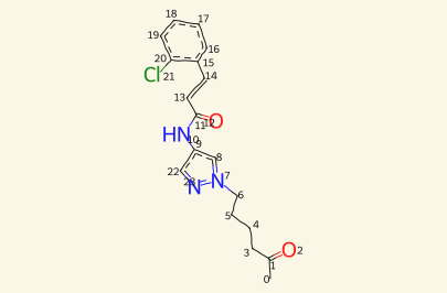 CC(=O)CCCCn1cc(NC(=O)C=Cc2ccccc2Cl)cn1